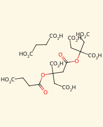 O=C(O)CCC(=O)O.O=C(O)CCC(=O)OC(CC(=O)O)(CC(=O)OC(CC(=O)O)(CC(=O)O)C(=O)O)C(=O)O